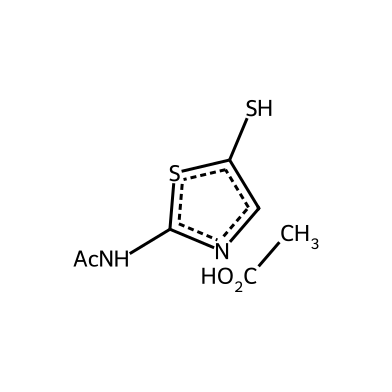 CC(=O)Nc1ncc(S)s1.CC(=O)O